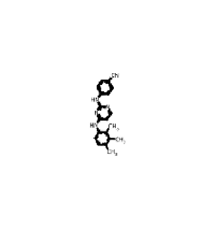 Cc1ccc(Nc2ccnc(Nc3ccc(C#N)cc3)n2)c(C)c1C